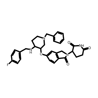 O=C1CCC(N2Cc3cc(OC4CN(Cc5ccccc5)CCC4NCc4ccc(F)cc4)ccc3C2=O)C(=O)N1